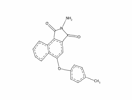 Cc1ccc(Oc2cc3c(c4ccccc24)C(=O)N(N)C3=O)cc1